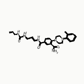 C=CCNC(=O)NCCCNC(=O)c1ccc(N2CCN(c3ccccc3C)CC2)c(C(N)=O)c1